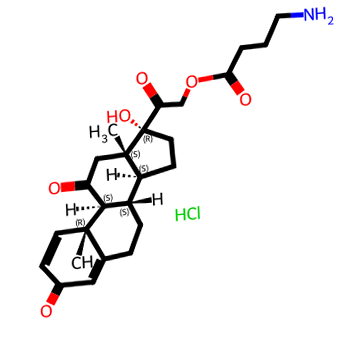 C[C@]12C=CC(=O)C=C1CC[C@@H]1[C@@H]2C(=O)C[C@@]2(C)[C@H]1CC[C@]2(O)C(=O)COC(=O)CCCN.Cl